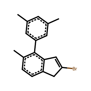 Cc1cc(C)cc(-c2c(C)ccc3c2C=C(Br)C3)c1